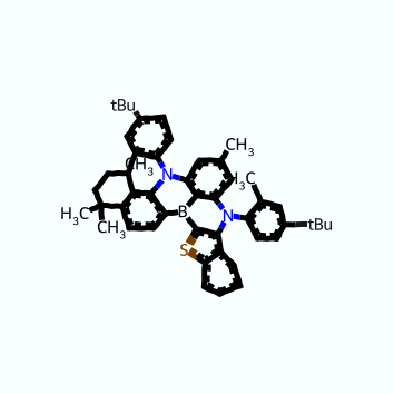 Cc1cc2c3c(c1)N(c1ccc(C(C)(C)C)cc1C)c1c(sc4ccccc14)B3c1ccc3c4c1N2c1ccc(C(C)(C)C)cc1C4(C)CCC3(C)C